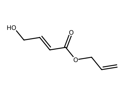 C=CCOC(=O)C=CCO